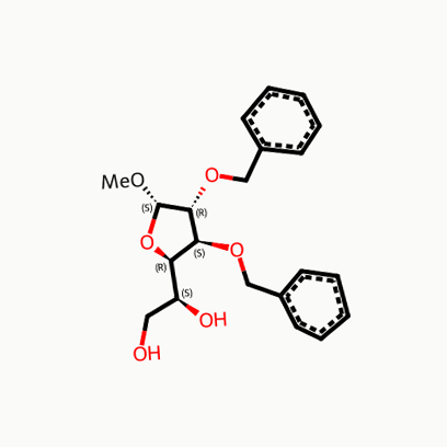 CO[C@H]1O[C@H]([C@@H](O)CO)[C@H](OCc2ccccc2)[C@H]1OCc1ccccc1